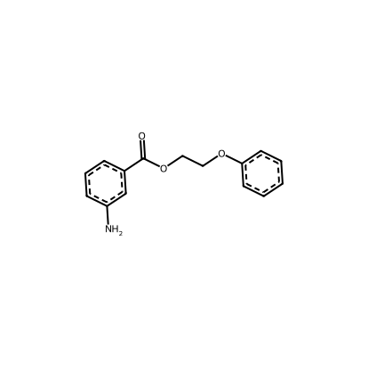 Nc1cccc(C(=O)OCCOc2ccccc2)c1